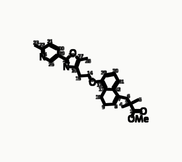 COC(=O)C(C)(C)CC1=CCCc2c(OCCc3nc(-c4ccc(C)nc4)oc3C)cccc21